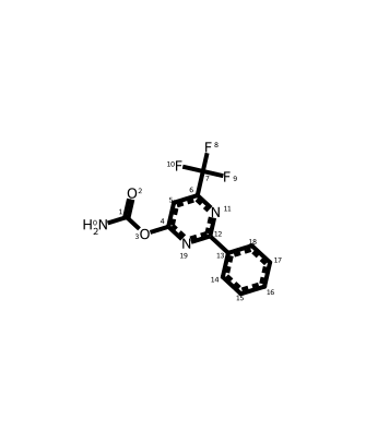 NC(=O)Oc1cc(C(F)(F)F)nc(-c2ccccc2)n1